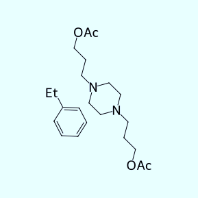 CC(=O)OCCCN1CCN(CCCOC(C)=O)CC1.CCc1ccccc1